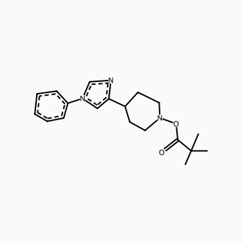 CC(C)(C)C(=O)ON1CCC(c2cn(-c3ccccc3)cn2)CC1